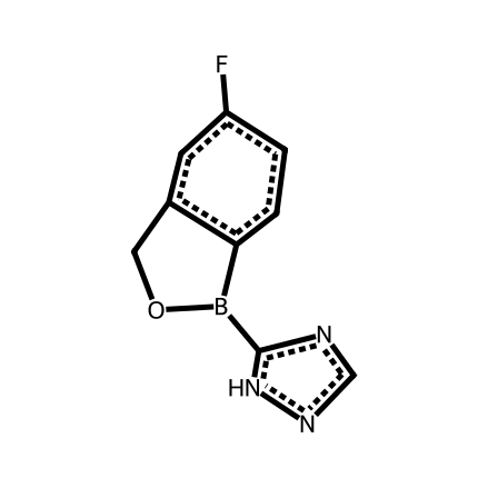 Fc1ccc2c(c1)COB2c1ncn[nH]1